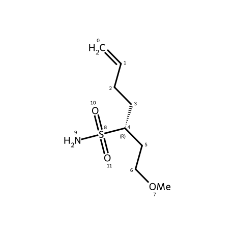 C=CCC[C@H](CCOC)S(N)(=O)=O